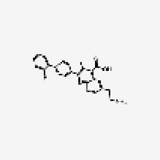 Cc1c(-c2ccc(-c3ccccc3F)cc2)nc2ccc(CCN)cc2c1C(=O)O